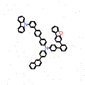 c1cc(-c2ccc(-c3ccc(N(c4ccc(-c5ccc6ccccc6c5)cc4)c4ccc(-c5ccccc5-c5ccc6c(c5)oc5ccccc56)cc4)cc3)cc2)cc(-n2c3ccccc3c3ccccc32)c1